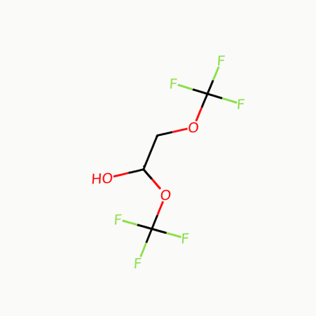 O[C](COC(F)(F)F)OC(F)(F)F